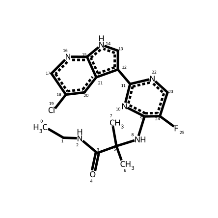 CCNC(=O)C(C)(C)Nc1nc(-c2c[nH]c3ncc(Cl)cc23)ncc1F